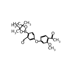 COc1cc(Oc2ccc(B3OC(C)(C)C(C)(C)O3)c(C=O)c2)ccc1C(C)=O